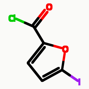 O=C(Cl)c1ccc(I)o1